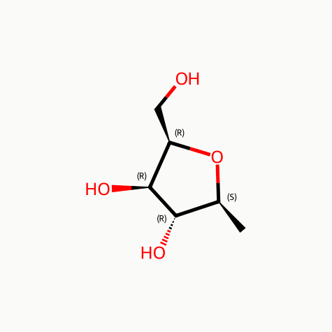 C[C@@H]1O[C@H](CO)[C@H](O)[C@H]1O